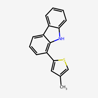 Cc1csc(-c2cccc3c2[nH]c2ccccc23)c1